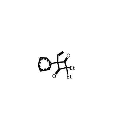 C=CC1(c2c[c]ccc2)C(=O)C(CC)(CC)C1=O